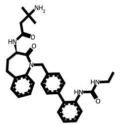 CCNC(=O)Nc1ccccc1-c1ccc(CN2C(=O)[C@H](NC(=O)CC(C)(C)N)CCc3ccccc32)cc1